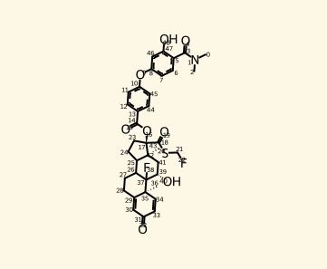 CN(C)C(=O)c1ccc(Oc2ccc(C(=O)O[C@]3(C(=O)SCF)CCC4C5CCC6=CC(=O)C=C[C@]6(C)C5(F)[C@@H](O)C[C@@]43C)cc2)cc1O